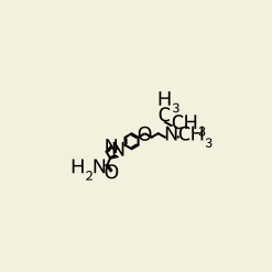 CC[C@@H](C)N(CC)CCCOc1ccc(-n2cc(C(N)=O)cn2)cc1